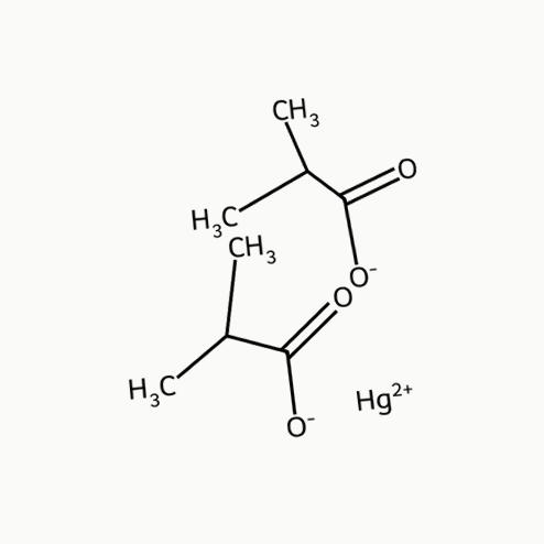 CC(C)C(=O)[O-].CC(C)C(=O)[O-].[Hg+2]